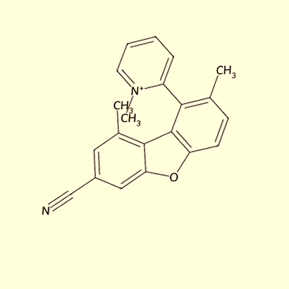 Cc1ccc2oc3cc(C#N)cc(C)c3c2c1-c1cccc[n+]1C